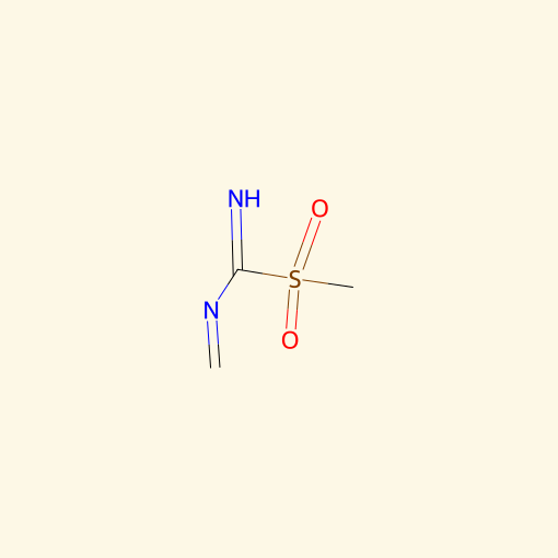 C=NC(=N)S(C)(=O)=O